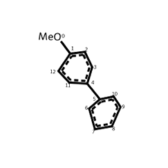 [CH]Oc1ccc(-c2ccccc2)cc1